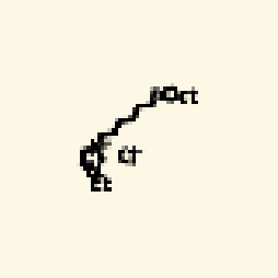 CCCCCCCCCCCCCC[n+]1ccn(CC)c1.[Cl-]